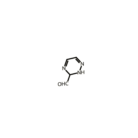 O=CC1N=CC=NN1